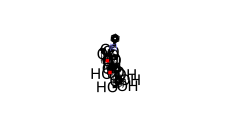 CC(=O)O[C@@H]1[C@@H](OC(=O)/C=C/c2ccccc2)[C@@H](OC(C)=O)[C@H](O[C@H]2[C@@H]3C=CO[C@@H](O[C@@H]4O[C@H](CO)[C@@H](O)[C@H](O)[C@H]4O)[C@@H]3[C@@]3(CO)O[C@@H]23)O[C@H]1C